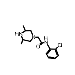 CC1CN(CC(=O)Nc2ccccc2Cl)CC(C)N1